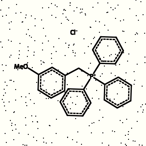 COc1cccc(C[P+](c2ccccc2)(c2ccccc2)c2ccccc2)c1.[Cl-]